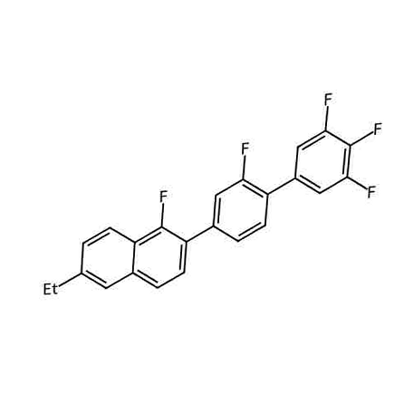 CCc1ccc2c(F)c(-c3ccc(-c4cc(F)c(F)c(F)c4)c(F)c3)ccc2c1